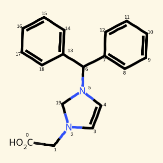 O=C(O)CN1C=CN(C(c2ccccc2)c2ccccc2)C1